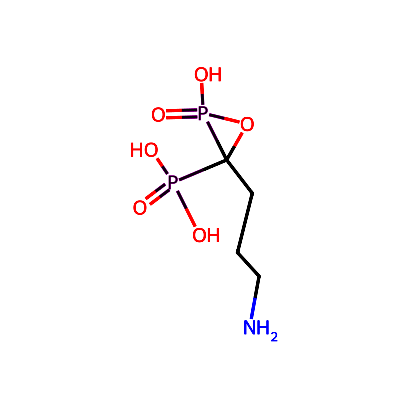 NCCCC1(P(=O)(O)O)OP1(=O)O